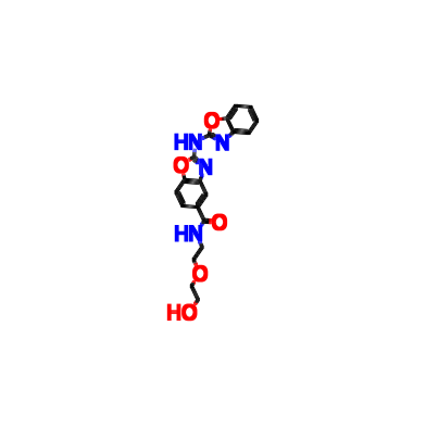 O=C(NCCOCCO)c1ccc2oc(Nc3nc4ccccc4o3)nc2c1